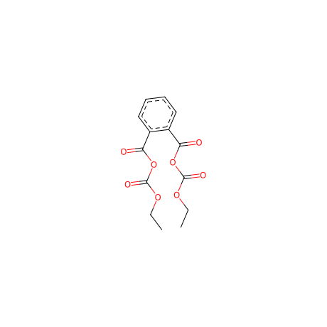 CCOC(=O)OC(=O)c1ccccc1C(=O)OC(=O)OCC